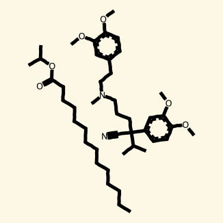 CCCCCCCCCCCCCC(=O)OC(C)C.COc1ccc(CCN(C)CCCC(C#N)(c2ccc(OC)c(OC)c2)C(C)C)cc1OC